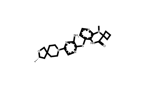 C[C@H]1CC2(CCN(c3cnc(Sc4ccnc5c4NC(=O)C4(CCC4)N5C)c(N)n3)CC2)CO1